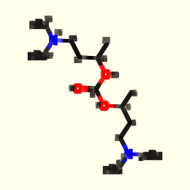 CCCCN(CCCC)CCC(C)OC(=O)OC(C)CCN(CCCC)CCCC